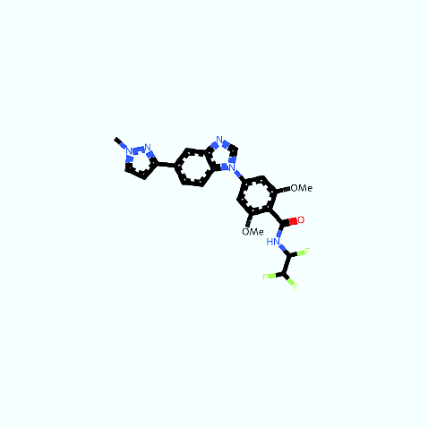 COc1cc(-n2cnc3cc(-c4ccn(C)n4)ccc32)cc(OC)c1C(=O)NC(F)C(F)F